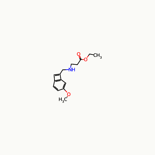 CCOC(=O)CCNCC1=Cc2ccc(OC)cc21